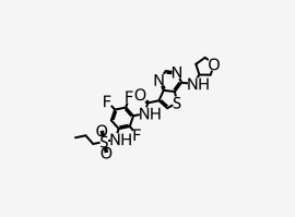 CCCS(=O)(=O)Nc1cc(F)c(F)c(NC(=O)c2csc3c(NC4CCOC4)ncnc23)c1F